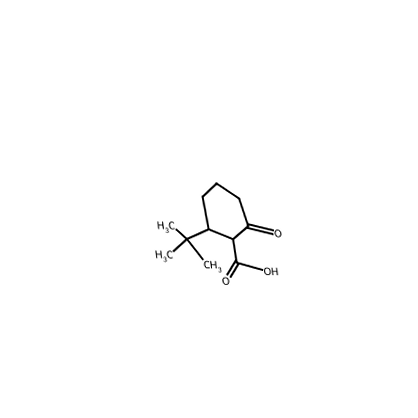 CC(C)(C)C1CCCC(=O)C1C(=O)O